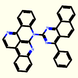 c1ccc(-c2nc(N3c4ccccc4-c4nccc5c4c3nc3ccccc35)nc3c2ccc2ccccc23)cc1